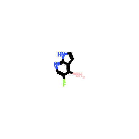 Bc1c(F)cnc2[nH]ccc12